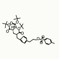 Cc1ccc(S(=O)(=O)OCCCc2ccc(CC(C[C@H](NC(=O)OC(C)(C)C)C(=O)OC(C)(C)C)C(=O)OC(C)(C)C)cc2)cc1